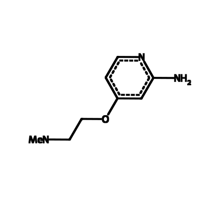 CNCCOc1ccnc(N)c1